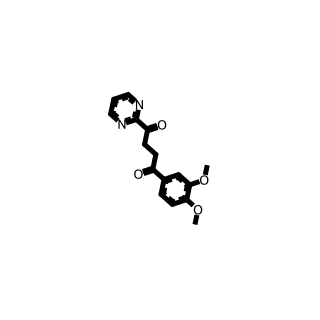 COc1ccc(C(=O)CCC(=O)c2ncccn2)cc1OC